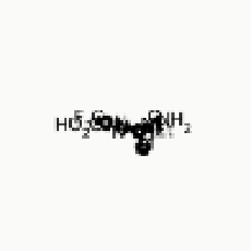 CCN(C(N)=O)c1nc2cc(-c3cnc(N4CCC(C(=O)O)(C(F)(F)F)CC4)nc3)cc(-c3ccccn3)c2s1